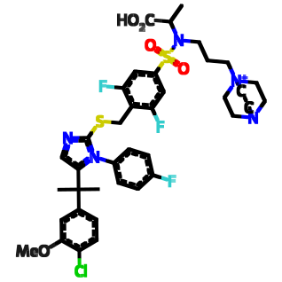 COc1cc(C(C)(C)c2cnc(SCc3c(F)cc(S(=O)(=O)N(CCC[N+]45CCN(CC4)CC5)C(C)C(=O)O)cc3F)n2-c2ccc(F)cc2)ccc1Cl